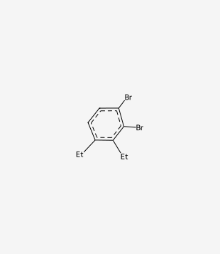 CCc1ccc(Br)c(Br)c1CC